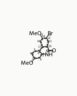 COc1ccc2c(c1)[nH]c(=O)c1cc(Br)c(OC)cc12